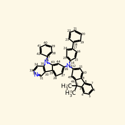 CC1(C)c2ccccc2-c2ccc(N(c3ccc(-c4ccccc4)cc3)c3ccc4c5cnccc5n(-c5ccccc5)c4c3)cc21